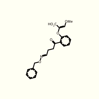 COC=C(Oc1ccccc1C(=O)CCC=NOCc1ccccc1)C(=O)O